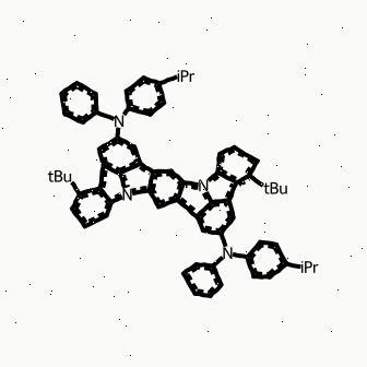 CC(C)c1ccc(N(c2ccccc2)c2cc3c4cc5c(cc4n4c6cccc(C(C)(C)C)c6c(c2)c34)c2cc(N(c3ccccc3)c3ccc(C(C)C)cc3)cc3c4c(C(C)(C)C)cccc4n5c23)cc1